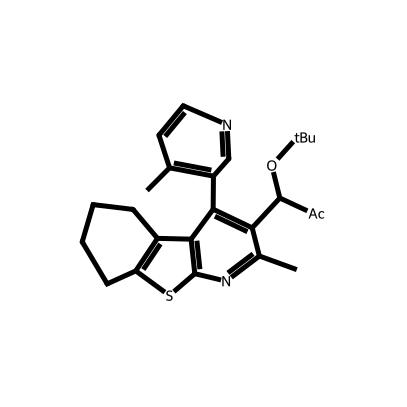 CC(=O)C(OC(C)(C)C)c1c(C)nc2sc3c(c2c1-c1cnccc1C)CCCC3